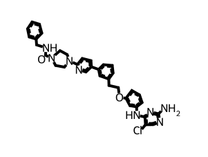 Nc1ncc(Cl)c(Nc2cccc(OCCc3cccc(-c4ccc(N5CCN(C(=O)NCc6ccccc6)CC5)nc4)c3)c2)n1